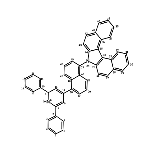 C1=C(c2ccccc2)NC(c2ccccc2)C=C1c1cccc2c(-n3c4ccc5ccccc5c4c4c5ccccc5ccc43)cccc12